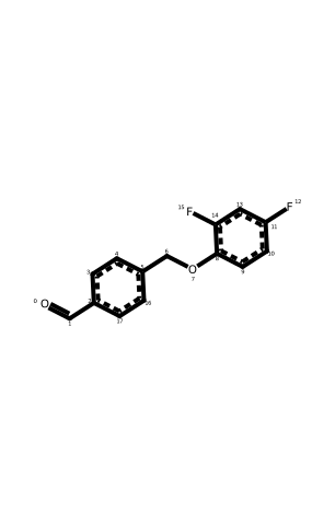 O=Cc1ccc(COc2ccc(F)cc2F)cc1